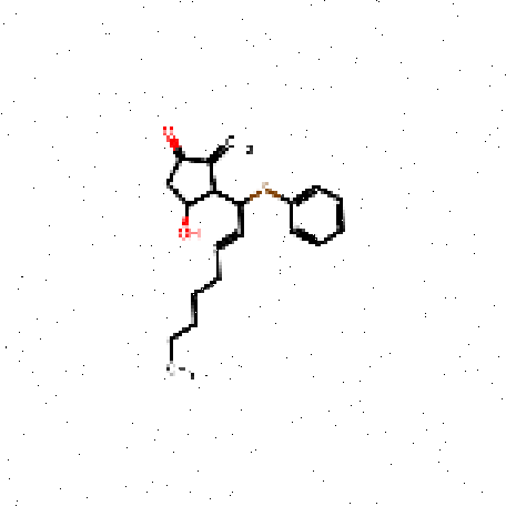 C=C1C(=O)CC(O)C1C(/C=C/CCCCC)Sc1ccccc1